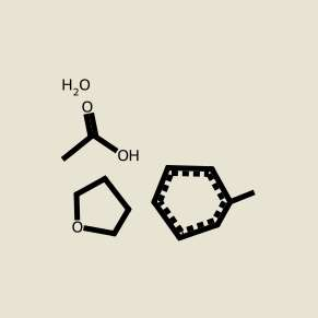 C1CCOC1.CC(=O)O.Cc1ccccc1.O